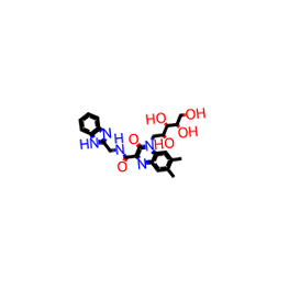 Cc1cc2nc(C(=O)NCc3nc4ccccc4[nH]3)c(=O)n(CC(O)C(O)C(O)CO)c2cc1C